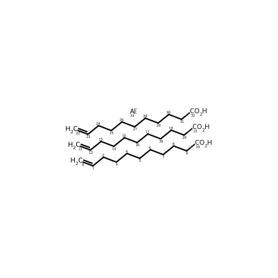 C=CCCCCCCCCC(=O)O.C=CCCCCCCCCC(=O)O.C=CCCCCCCCCC(=O)O.[Al]